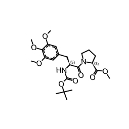 COC(=O)[C@@H]1CCCN1C(=O)[C@H](Cc1cc(OC)c(OC)c(OC)c1)NC(=O)OC(C)(C)C